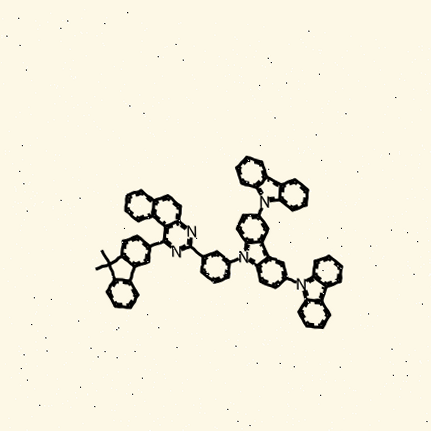 CC1(C)c2ccccc2-c2cc(-c3nc(-c4cccc(-n5c6ccc(-n7c8ccccc8c8ccccc87)cc6c6cc(-n7c8ccccc8c8ccccc87)ccc65)c4)nc4ccc5ccccc5c34)ccc21